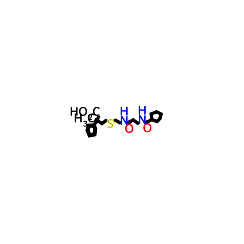 CC(CCSCCNC(=O)CCNC(=O)C1CCCCC1)(CC(=O)O)c1ccccc1